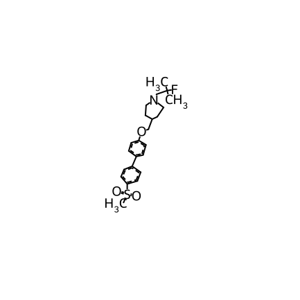 CC(C)(F)CN1CCC(COc2ccc(-c3ccc(S(C)(=O)=O)cc3)cc2)CC1